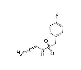 C=C=CNS(=O)(=O)Cc1ccc(F)cc1